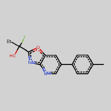 CCC(O)(F)c1nc2ncc(-c3ccc(C)cc3)cc2o1